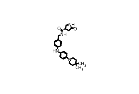 CC1(C)CCN(c2ccc(Nc3ccc(CNC(=O)[C@H]4CNC(=O)C4)cc3)cc2)CC1